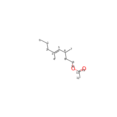 CCCC(C)=CC(C)CCOC(C)=O